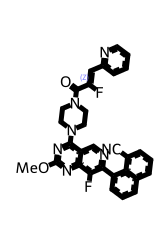 COc1nc(N2CCN(C(=O)/C(F)=C/c3ccccn3)CC2)c2cnc(-c3cccc4cccc(C#N)c34)c(F)c2n1